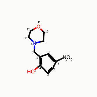 O=[N+]([O-])c1ccc(O)c(CN2CCOCC2)c1